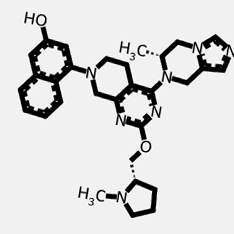 C[C@@H]1Cn2cncc2CN1c1nc(OC[C@@H]2CCCN2C)nc2c1CCN(c1cc(O)cc3ccccc13)C2